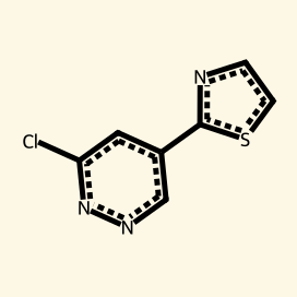 Clc1cc(-c2nccs2)cnn1